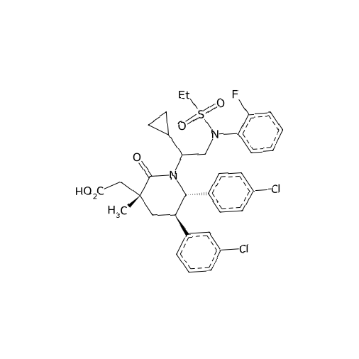 CCS(=O)(=O)N(CC(C1CC1)N1C(=O)[C@@](C)(CC(=O)O)C[C@H](c2cccc(Cl)c2)[C@H]1c1ccc(Cl)cc1)c1ccccc1F